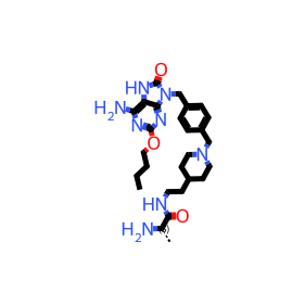 CCCCOc1nc(N)c2[nH]c(=O)n(Cc3ccc(CN4CCC(CCNC(=O)[C@H](C)N)CC4)cc3)c2n1